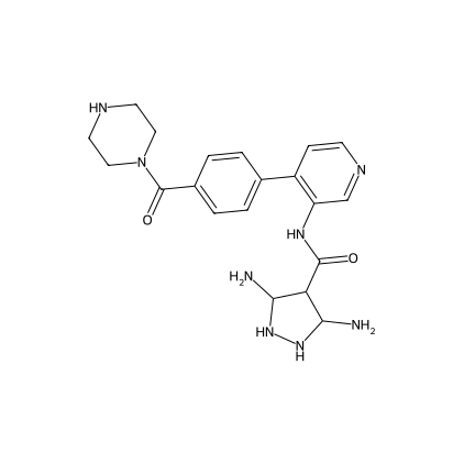 NC1NNC(N)C1C(=O)Nc1cnccc1-c1ccc(C(=O)N2CCNCC2)cc1